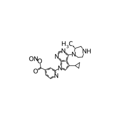 C[C@H]1CNCCN1c1ncnc2c1c(C1CC1)cn2-c1cc(C(=O)ON=O)ccn1